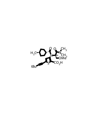 COC[C@H](C(=O)N(C)C)N(c1cc(C#CC(C)(C)C)sc1C(=O)O)C(=O)[C@H]1CC[C@H](C)CC1